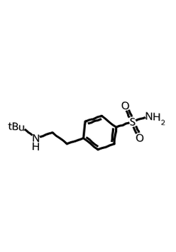 CC(C)(C)NCCc1ccc(S(N)(=O)=O)cc1